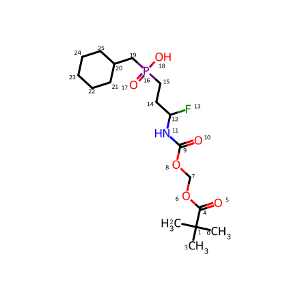 CC(C)(C)C(=O)OCOC(=O)NC(F)CCP(=O)(O)CC1CCCCC1